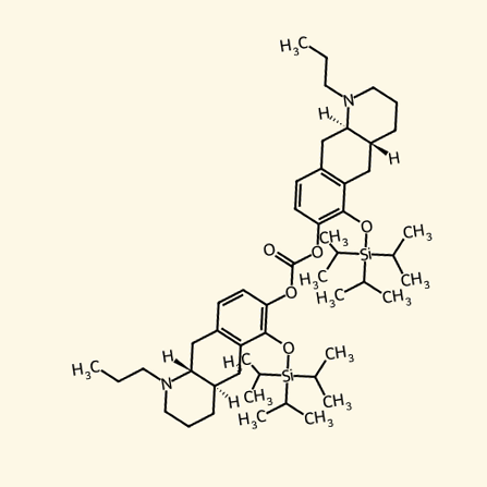 CCCN1CCC[C@@H]2Cc3c(ccc(OC(=O)Oc4ccc5c(c4O[Si](C(C)C)(C(C)C)C(C)C)C[C@H]4CCCN(CCC)[C@@H]4C5)c3O[Si](C(C)C)(C(C)C)C(C)C)C[C@H]21